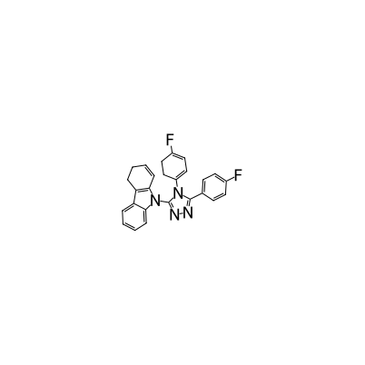 FC1=CC=C(n2c(-c3ccc(F)cc3)nnc2-n2c3c(c4ccccc42)CCC=C3)CC1